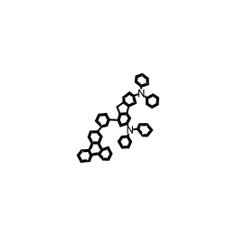 c1ccc(N(c2ccccc2)c2ccc3c(c2)-c2cc(N(c4ccccc4)c4ccccc4)cc(-c4cccc(-c5ccc6c7ccccc7c7ccccc7c6c5)c4)c2C3)cc1